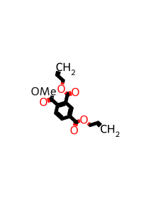 C=CCOC(=O)c1ccc(C(=O)OC)c(C(=O)OCC=C)c1